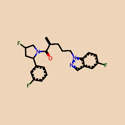 C=C(CCCn1ncc2cc(F)ccc21)C(=O)N1CC(F)CC1c1cccc(F)c1